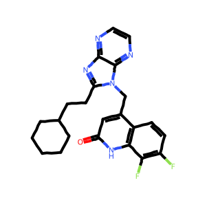 O=c1cc(Cn2c(CCC3CCCCC3)nc3nccnc32)c2ccc(F)c(F)c2[nH]1